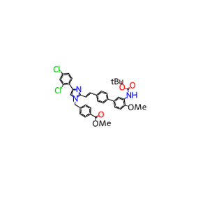 COC(=O)c1ccc(Cn2cc(-c3ccc(Cl)cc3Cl)nc2C=Cc2ccc(-c3ccc(OC)c(NC(=O)OC(C)(C)C)c3)cc2)cc1